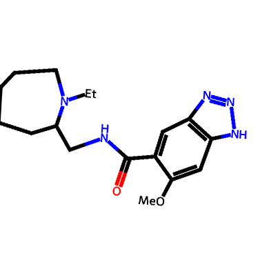 CCN1CCCCCC1CNC(=O)c1cc2nn[nH]c2cc1OC